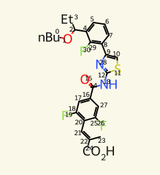 CCCCOC(CC)c1cccc(-c2csc(NC(=O)c3cc(F)c(C=C(C)C(=O)O)c(F)c3)n2)c1F